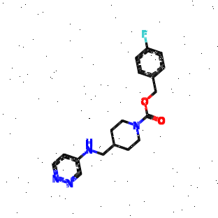 O=C(OCc1ccc(F)cc1)N1CCC(CNc2ccnnc2)CC1